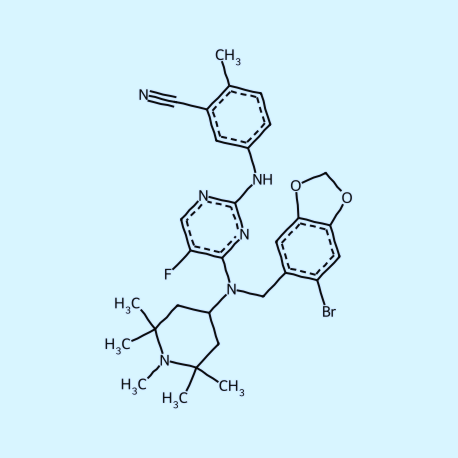 Cc1ccc(Nc2ncc(F)c(N(Cc3cc4c(cc3Br)OCO4)C3CC(C)(C)N(C)C(C)(C)C3)n2)cc1C#N